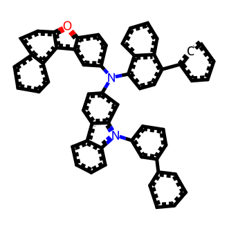 c1ccc(-c2cccc(-n3c4ccccc4c4ccc(N(c5ccc6oc7ccc8ccccc8c7c6c5)c5ccc(-c6ccccc6)c6ccccc56)cc43)c2)cc1